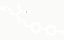 O=[C]([Na])C(CCO)SCCc1ccc(-c2ccc(Cl)cc2)cc1